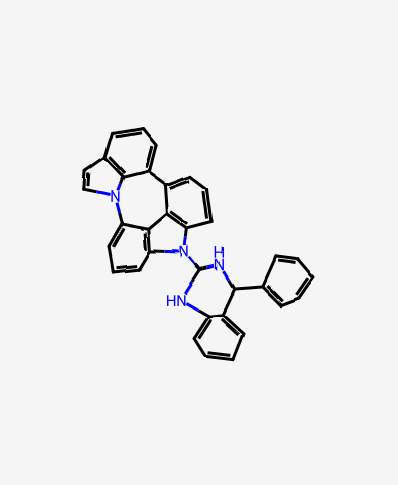 c1ccc(C2NC(n3c4cccc5c6cccc7ccn(c8cccc3c8c54)c76)Nc3ccccc32)cc1